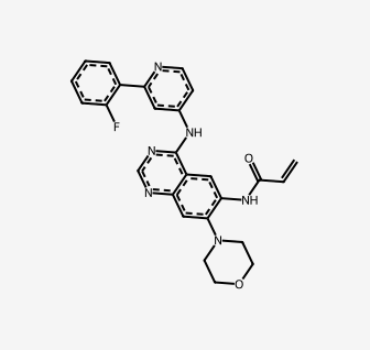 C=CC(=O)Nc1cc2c(Nc3ccnc(-c4ccccc4F)c3)ncnc2cc1N1CCOCC1